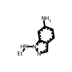 CCNn1ncc2ccc(N)cc21